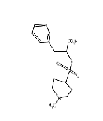 CN1CCC(S(=O)(=O)CC(Cc2ccccc2)C(=O)O)CC1